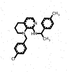 Cc1ccc(C(C)Nc2nccc3c2N(Cc2ccc(Cl)cc2)CCC3)cc1